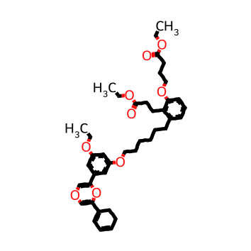 CCOC(=O)CCCOc1cccc(CCCCCCOc2cc(OCC)cc(C3=COC=C(C4=CC=CCC4)O3)c2)c1CCC(=O)OCC